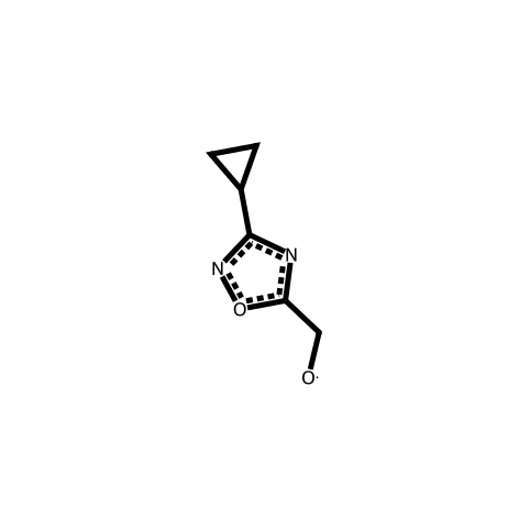 [O]Cc1nc(C2CC2)no1